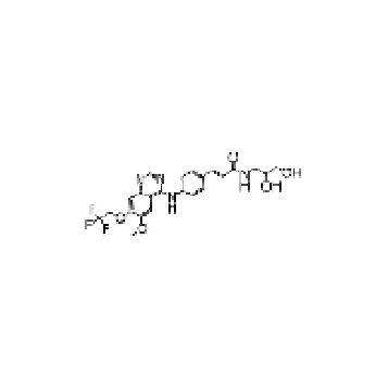 COc1cc2c(Nc3ccc(C=CC(=O)NCC(O)CO)cc3)ncnc2cc1OCC(F)(F)F